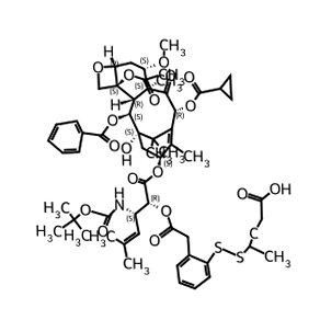 CO[C@H]1C[C@H]2OC[C@@]2(OC(C)=O)[C@H]2[C@H](OC(=O)c3ccccc3)[C@]3(O)C[C@H](OC(=O)[C@H](OC(=O)Cc4ccccc4SSC(C)CCC(=O)O)[C@H](C=C(C)C)NC(=O)OC(C)(C)C)C(C)=C([C@@H](OC(=O)C4CC4)C(=O)[C@]12C)C3(C)C